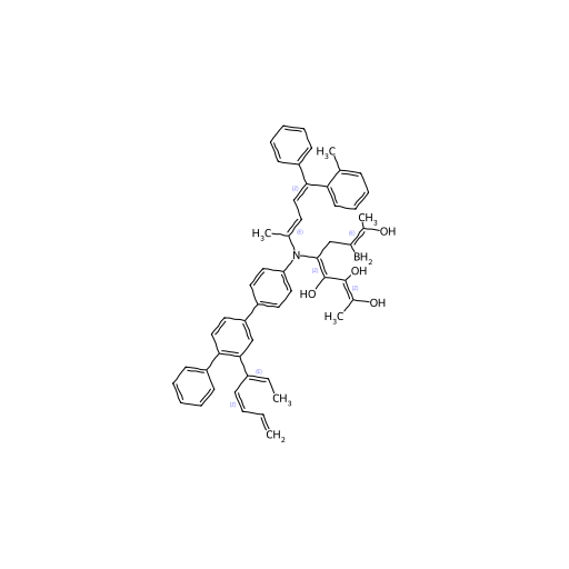 B/C(C/C(=C(O)\C(O)=C(/C)O)N(/C(C)=C/C=C(/c1ccccc1)c1ccccc1C)c1ccc(-c2ccc(-c3ccccc3)c(C(/C=C\C=C)=C/C)c2)cc1)=C(/C)O